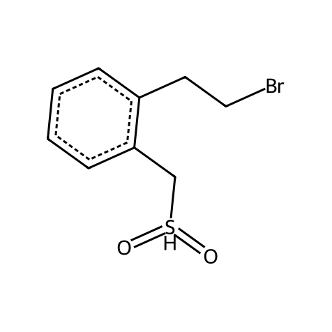 O=[SH](=O)Cc1ccccc1CCBr